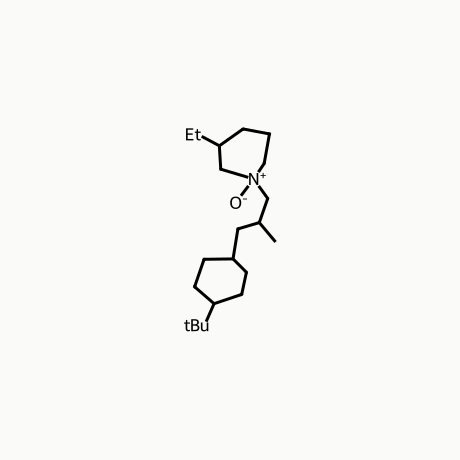 CCC1CCC[N+]([O-])(CC(C)CC2CCC(C(C)(C)C)CC2)C1